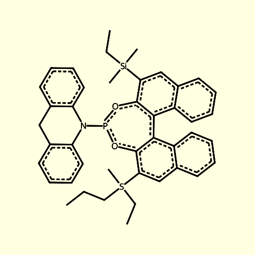 CCCS(C)(CC)c1cc2ccccc2c2c1op(N1c3ccccc3Cc3ccccc31)oc1c([Si](C)(C)CC)cc3ccccc3c12